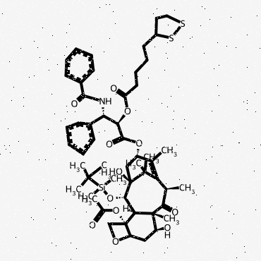 CC(=O)O[C@@]12COC1C[C@H](O)[C@@]1(C)C(=O)[C@H](C)C3=C(C)[C@@H](OC(=O)[C@H](OC(=O)CCCCC4CCSS4)[C@@H](NC(=O)c4ccccc4)c4ccccc4)C[C@@](O)([C@@H](O[Si](C)(C)C(C)(C)C)[C@@H]12)C3(C)C